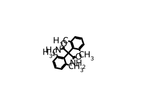 Cc1cccc(C)c1C(C(N)=O)(C(N)=O)c1c(C)cccc1C